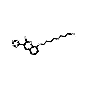 C=CCCOCCCCOc1cccc2cc(-c3nnn[nH]3)c(=O)oc12